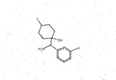 NC(c1cccc(Cl)n1)C1(O)CCC(F)CC1